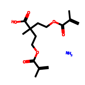 C=C(C)C(=O)OCCC(C)(CCOC(=O)C(=C)C)C(=O)O.N